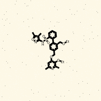 CCOCc1cc(COc2cc(C)nc(C)c2OCC)ccc1-c1ccccc1S(=O)(=O)Nc1noc(C)c1C